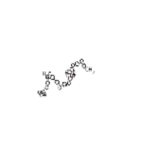 Cc1ccc(C(=O)c2ccc(Oc3ccc(C(c4ccc(Oc5ccc(C(=O)c6ccc(-c7ccc(C)c(C(=O)c8ccc(OCCCS(=O)(=O)O)cc8)c7)cc6)cc5)cc4)(C(F)(F)F)C(F)(F)F)cc3)cc2)cc1